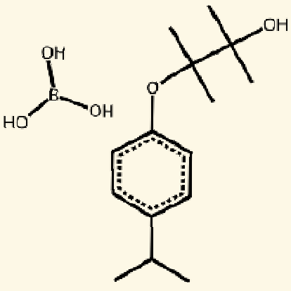 CC(C)c1ccc(OC(C)(C)C(C)(C)O)cc1.OB(O)O